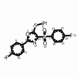 CC(C)Sc1oc(-c2ccc(F)cc2)nc1S(=O)(=O)c1ccc(F)cc1